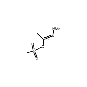 CN/N=C(\C)OS(C)(=O)=O